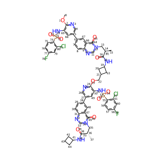 COc1ncc(-c2ccc3ncn(C[C@@H](C)C(=O)NC4CC(COc5ncc(-c6ccc7ncn(C[C@H](C)C(=O)NC8CCC8)c(=O)c7c6)cc5NS(=O)(=O)c5ccc(F)cc5Cl)C4)c(=O)c3c2)cc1NS(=O)(=O)c1ccc(F)cc1Cl